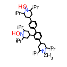 CC(C)C1CC(c2ccc(-c3ccc(C4CC(C(C)C)N(O)C(C(C)C)C4)cc3)c(C3CC(C(C)C)N(O)C(C(C)C)C3)c2)CC(C(C)C)N1C